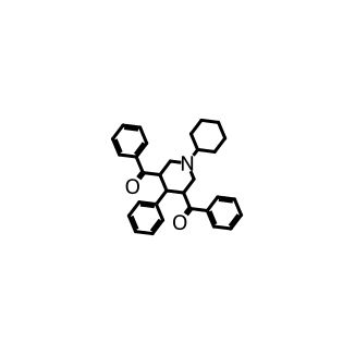 O=C(c1ccccc1)C1CN(C2CCCCC2)CC(C(=O)c2ccccc2)C1c1ccccc1